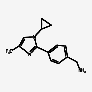 NCc1ccc(-c2nc(C(F)(F)F)cn2C2CC2)cc1